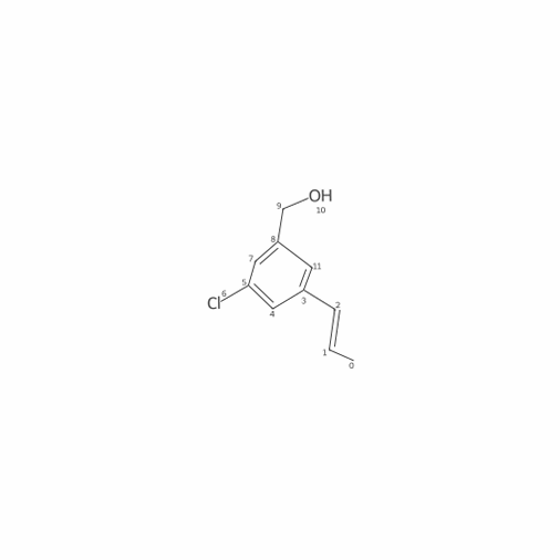 C/C=C/c1cc(Cl)cc(CO)c1